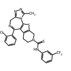 Cc1nnc2n1-c1sc3c(c1C(c1ccccc1Cl)=NC2)CCN(C(=S)Nc1cccc(C(F)(F)F)c1)C3